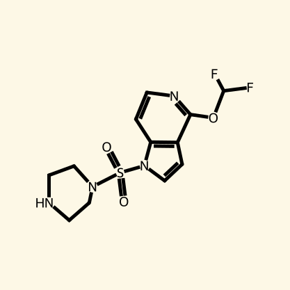 O=S(=O)(N1CCNCC1)n1ccc2c(OC(F)F)nccc21